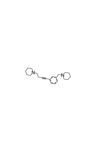 C(#Cc1cccc(CN2CCCCC2)c1)CCN1CCCCC1